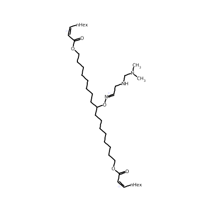 CCCCCC/C=C\C(=O)OCCCCCCCCC(CCCCCCCCOC(=O)/C=C\CCCCCC)O/N=C/CNCN(C)C